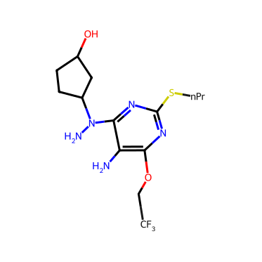 CCCSc1nc(OCC(F)(F)F)c(N)c(N(N)C2CCC(O)C2)n1